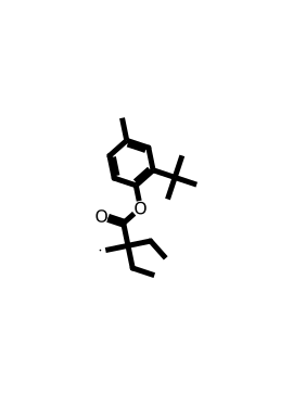 [CH2]C(CC)(CC)C(=O)Oc1ccc(C)cc1C(C)(C)C